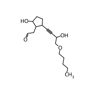 CCCCCOCC(O)C#CC1CCC(O)C1CC=O